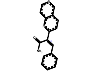 NC(=O)/C(=C\c1ccccc1)c1ccc2cnccc2n1